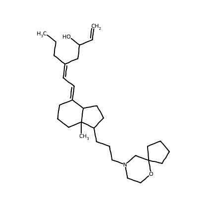 C=CC(O)C/C(=C\C=C1/CCCC2(C)C(CCCN3CCOC4(CCCC4)C3)CCC12)CCC